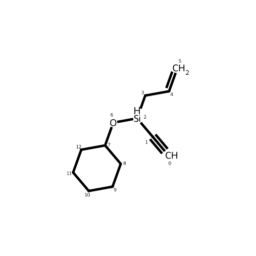 C#C[SiH](CC=C)OC1CCCCC1